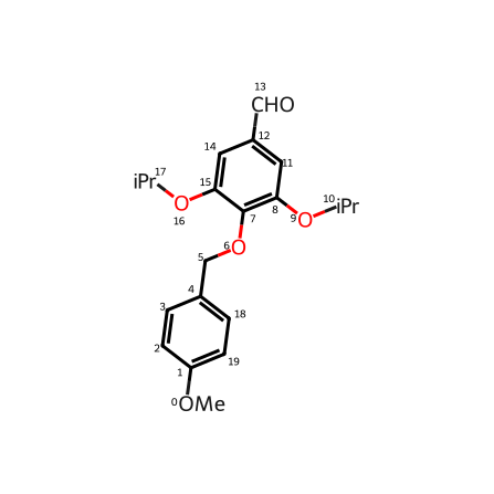 COc1ccc(COc2c(OC(C)C)cc(C=O)cc2OC(C)C)cc1